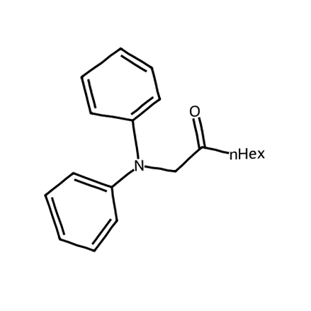 CCCCCCC(=O)CN(c1ccccc1)c1ccccc1